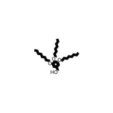 CCCCCCCCOc1cc(CO)cc(OCCCCCCCC)c1OCCCCCCCC